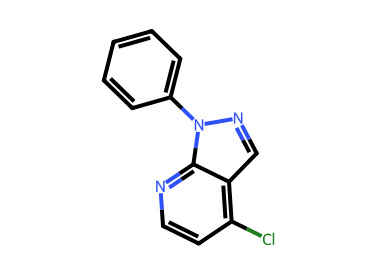 Clc1ccnc2c1cnn2-c1ccccc1